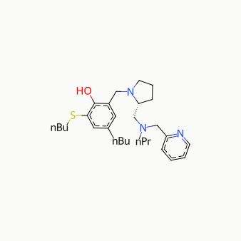 CCCCSc1cc(CCCC)cc(CN2CCC[C@@H]2CN(CCC)Cc2ccccn2)c1O